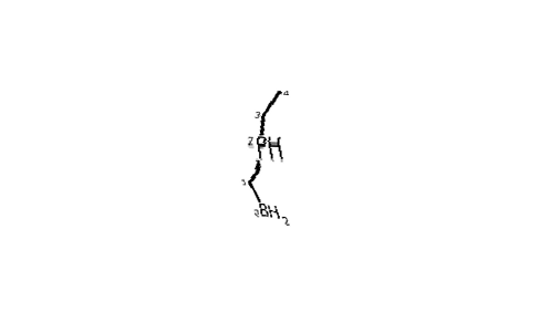 BCPCC